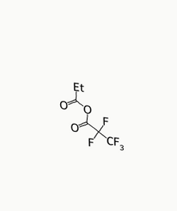 CCC(=O)OC(=O)C(F)(F)C(F)(F)F